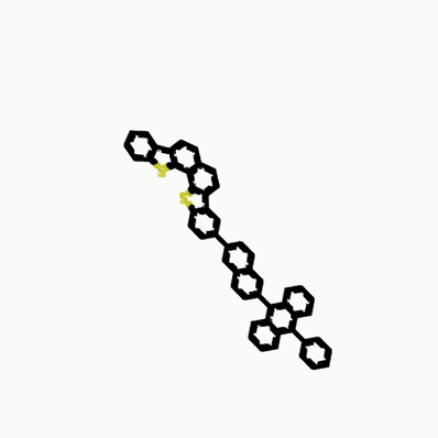 c1ccc(-c2c3ccccc3c(-c3ccc4cc(-c5ccc6sc7c(ccc8ccc9c%10ccccc%10sc9c87)c6c5)ccc4c3)c3ccccc23)cc1